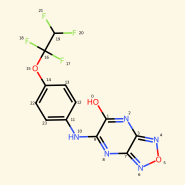 Oc1nc2nonc2nc1Nc1ccc(OC(F)(F)C(F)F)cc1